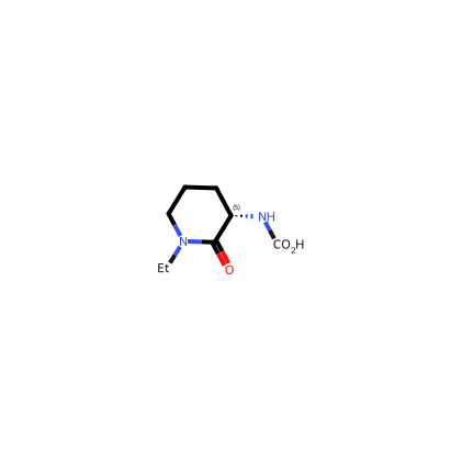 CCN1CCC[C@H](NC(=O)O)C1=O